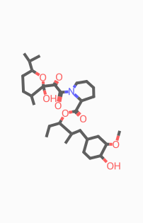 CCC(OC(=O)C1CCCCN1C(=O)C(=O)C1(O)OC(C(C)C)CCC1C)C(C)CC1CCC(O)C(OC)C1